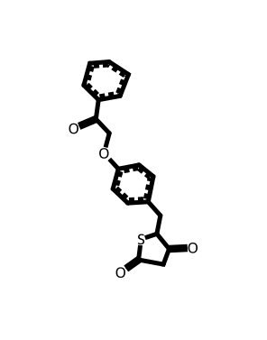 O=C1CC(=O)C(Cc2ccc(OCC(=O)c3ccccc3)cc2)S1